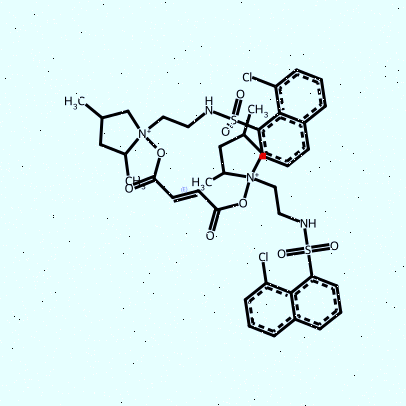 CC1CC(C)[N+](CCNS(=O)(=O)c2cccc3cccc(Cl)c23)(OC(=O)/C=C/C(=O)O[N+]2(CCNS(=O)(=O)c3cccc4cccc(Cl)c34)CC(C)CC2C)C1